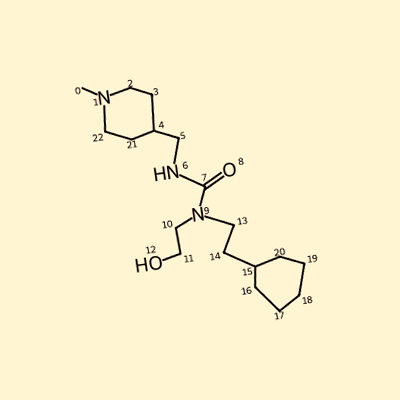 CN1CCC(CNC(=O)N(CCO)CCC2CCCCC2)CC1